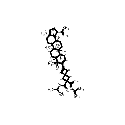 C=C(C)[C@@H]1CC[C@]2(N)CC[C@]3(C)[C@H](CC[C@@H]4[C@@]5(C)CC=C(C6=CC7(C6)CC(C(=O)OC(C)C)(C(=O)OC(C)C)C7)C(C)(C)[C@@H]5CC[C@]43C)[C@@H]12